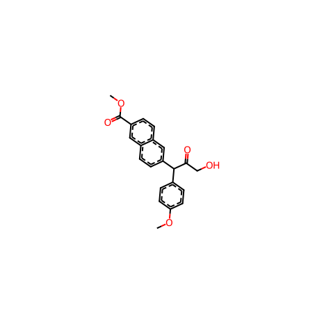 COC(=O)c1ccc2cc(C(C(=O)CO)c3ccc(OC)cc3)ccc2c1